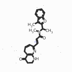 Cc1c(C(C)N(C)C(=O)/C=C/C2=NC3=C(CC=C2)C(=O)CCN3)oc2ccccc12